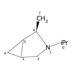 CC(C)N1CC2CC2[C@H]1C